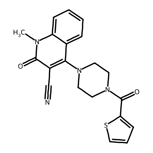 Cn1c(=O)c(C#N)c(N2CCN(C(=O)c3cccs3)CC2)c2ccccc21